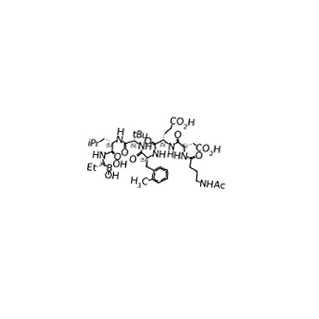 CC[C@H](NC(=O)[C@H](CC(C)C)NC(=O)[C@@H](NC(=O)[C@H](Cc1ccccc1C)NC(=O)[C@H](CCC(=O)O)NC(=O)[C@H](CC(=O)O)NC(=O)CCCNC(C)=O)C(C)(C)C)B(O)O